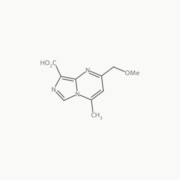 COCc1cc(C)n2cnc(C(=O)O)c2n1